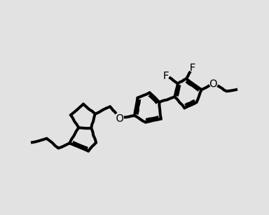 CCCC1=CCC2C(COc3ccc(-c4ccc(OCC)c(F)c4F)cc3)CCC12